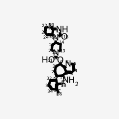 N[C@@H]1c2cccnc2[C@H](OC(O)N2CCC(n3c(=O)[nH]c4ncccc43)CC2)CC[C@H]1c1cccc(F)c1F